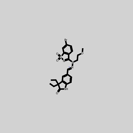 CCC1(CC)C(=O)Nc2ccc(/C=N/N(CCOC)C3=NS(=O)(=O)c4cc(Br)ccc43)cc21